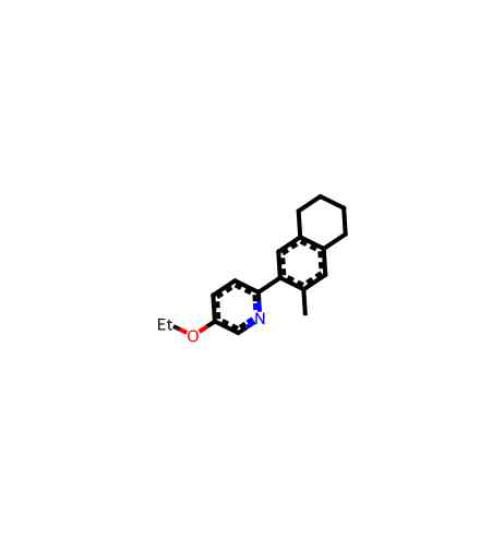 CCOc1ccc(-c2cc3c(cc2C)CCCC3)nc1